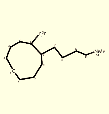 CCCC1CCCCCCCC1CCCCNC